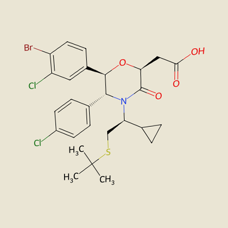 CC(C)(C)SC[C@H](C1CC1)N1C(=O)[C@H](CC(=O)O)O[C@H](c2ccc(Br)c(Cl)c2)[C@H]1c1ccc(Cl)cc1